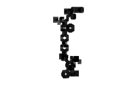 CC(CCC(=O)NC=O)N1CCN([C@H]2CC[C@@H](N3CCC(n4cc(-c5cc(-c6ccccc6O)nnc5N)cn4)CC3)CC2)c2ccccc21